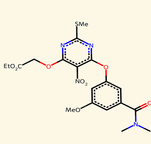 CCOC(=O)COc1nc(SC)nc(Oc2cc(OC)cc(C(=O)N(C)C)c2)c1[N+](=O)[O-]